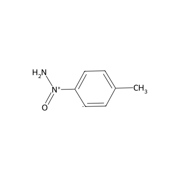 Cc1c[c]c([N+](N)=O)cc1